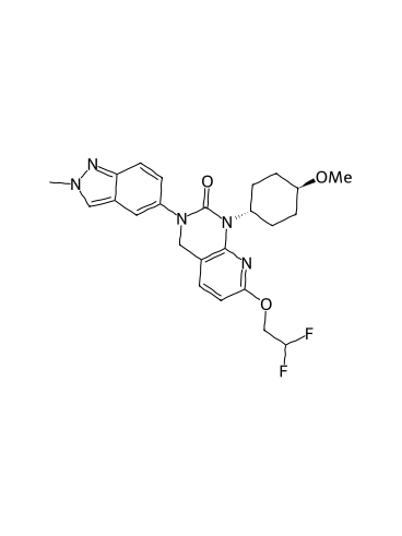 CO[C@H]1CC[C@H](N2C(=O)N(c3ccc4nn(C)cc4c3)Cc3ccc(OCC(F)F)nc32)CC1